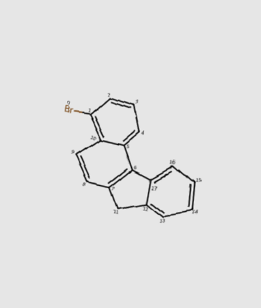 Brc1cccc2c3c(ccc12)Cc1ccccc1-3